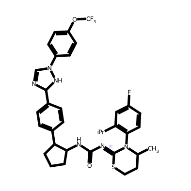 CC(C)c1cc(F)ccc1N1/C(=N/C(=O)NC2CCCC2c2ccc(C3N=CN(c4ccc(OC(F)(F)F)cc4)N3)cc2)SCCC1C